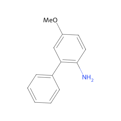 COc1ccc(N)c(-c2ccccc2)c1